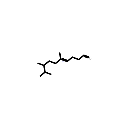 C/C(=C\CCC=O)CCC(C)C(C)C